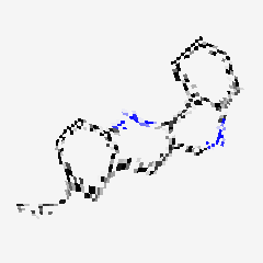 FC(F)(F)c1ccc2nc3c(cnc4ccccc43)cc2c1